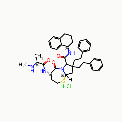 CN[C@@H](C)C(=O)N[C@H]1CCS[C@H]2CC(CCc3ccccc3)(CCc3ccccc3)C(C(=O)N[C@@H]3CCCc4ccccc43)N2C1=O.Cl